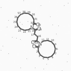 O=C1CCCCCCCCCCCN1C(=O)CCC(=O)N1CCCCCCCCCCCC1=O